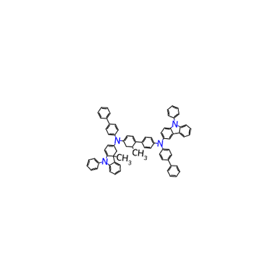 CC1CC(N(C2=CC=C3N(c4ccccc4)c4ccccc4C3(C)C2)c2ccc(-c3ccccc3)cc2)=CC=C1c1ccc(N(c2ccc(-c3ccccc3)cc2)c2ccc3c(c2)c2ccccc2n3-c2ccccc2)cc1